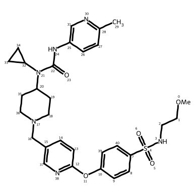 COCCNS(=O)(=O)c1ccc(Oc2ccc(CN3CCC(N(C(=O)Nc4ccc(C)nc4)C4CC4)CC3)cn2)cc1